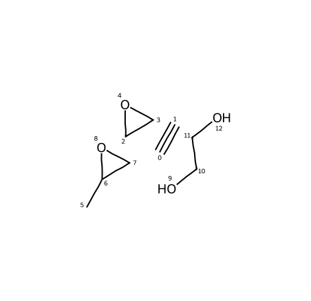 C#C.C1CO1.CC1CO1.OCCO